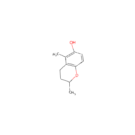 Cc1c(O)ccc2c1CCC(C)O2